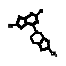 CCc1cc2c(N3CCn4cc(C(F)(F)F)nc4C3)nc(Cl)nc2s1